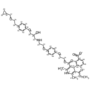 COC(=O)C1=C(C)NC(C)=C(C(=O)OCCOc2ccc(OCCNCC(O)COc3ccc(CCOCC4CC4)cc3)cc2)C1c1cccc([N+](=O)[O-])c1